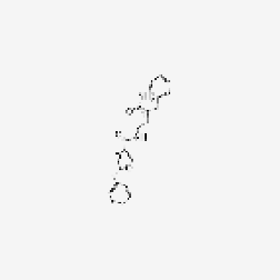 NC(=O)[C@H](CCNC(=O)C1=COC(Cc2ccccc2)O1)Cc1ccccc1